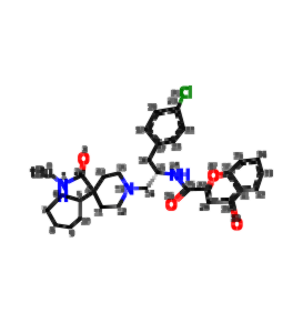 CC(C)(C)NC(=O)C1(C2CCCCC2)CCN(C[C@H](Cc2ccc(Cl)cc2)NC(=O)c2cc(=O)c3ccccc3o2)CC1